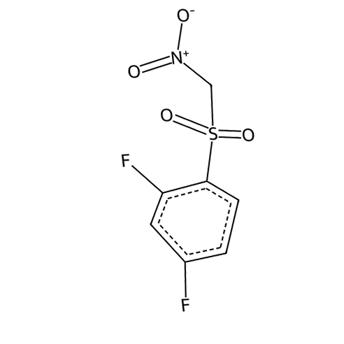 O=[N+]([O-])CS(=O)(=O)c1ccc(F)cc1F